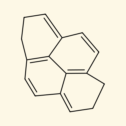 C1=c2ccc3c4c(ccc(c24)CC1)=CCC3